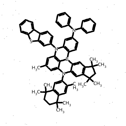 Cc1cc2c3c(c1)N(c1cc4c(cc1C)C(C)(C)CCC4(C)C)c1cc4c(cc1B3c1ccc(N(c3ccccc3)c3ccccc3)cc1N2c1ccc2c(c1)sc1ccccc12)C(C)(C)CC4(C)C